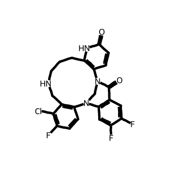 O=C1c2cc(F)c(F)cc2N2CN1c1ccc(=O)[nH]c1CCCNCc1c2ccc(F)c1Cl